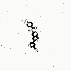 CN1CCC(C(=O)Nc2cc3cc(-c4cncc(C#N)c4)ncc3cn2)CC1